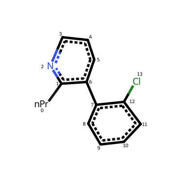 CCCc1ncccc1-c1ccccc1Cl